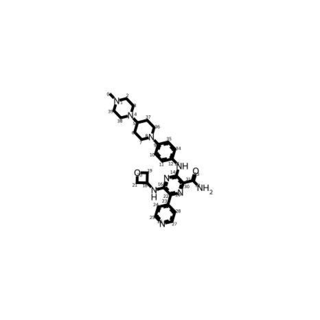 CN1CCN(C2CCN(c3ccc(Nc4nc(NC5COC5)c(-c5ccncc5)nc4C(N)=O)cc3)CC2)CC1